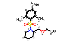 COc1cc(C)c(S(=O)(=O)N2CCCCC2COCC(C)(C)C)c(C)c1